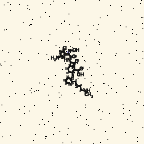 CNCCSCc1ncccc1SC1=C(C(=O)O)N2C(=O)C(NC(=O)/C(=N\O)c3nc(N)sc3Cl)C2CC1